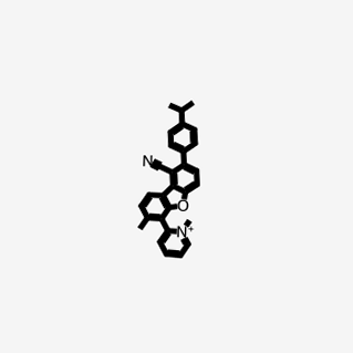 Cc1ccc2c(oc3ccc(-c4ccc(C(C)C)cc4)c(C#N)c32)c1-c1cccc[n+]1C